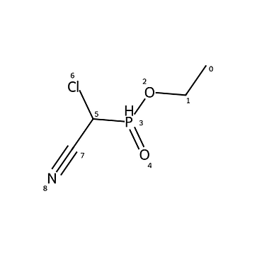 CCO[PH](=O)C(Cl)C#N